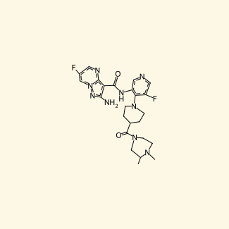 CC1CN(C(=O)C2CCN(c3c(F)cncc3NC(=O)c3c(N)nn4cc(F)cnc34)CC2)CCN1C